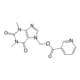 Cn1c(=O)c2c(ncn2COC(=O)c2cccnc2)n(C)c1=O